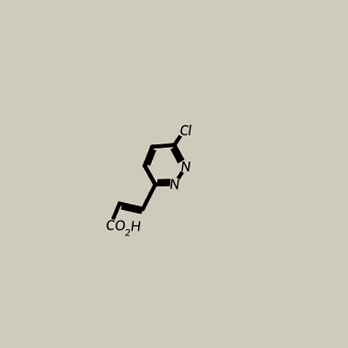 O=C(O)/C=C/c1ccc(Cl)nn1